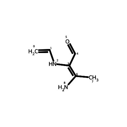 C=CN/C(C=O)=C(/C)N